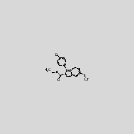 CCOC(=O)c1cc2cc(CO)ccn2c1-c1ccc(Cl)cc1